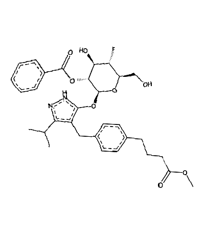 COC(=O)CCCc1ccc(Cc2c(C(C)C)n[nH]c2O[C@@H]2O[C@H](CO)[C@@H](F)[C@H](O)[C@H]2OC(=O)c2ccccc2)cc1